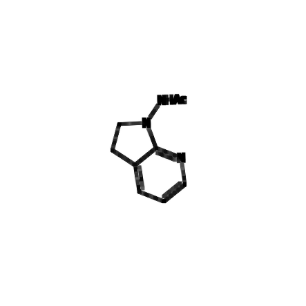 CC(=O)NN1CCc2cccnc21